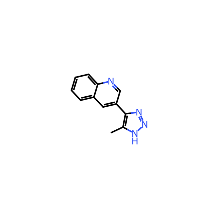 Cc1[nH]nnc1-c1cnc2ccccc2c1